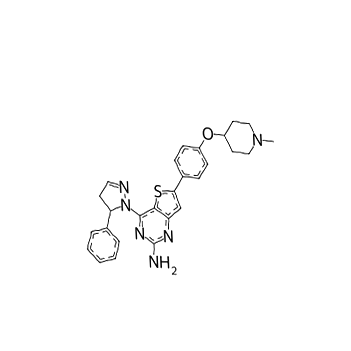 CN1CCC(Oc2ccc(-c3cc4nc(N)nc(N5N=CCC5c5ccccc5)c4s3)cc2)CC1